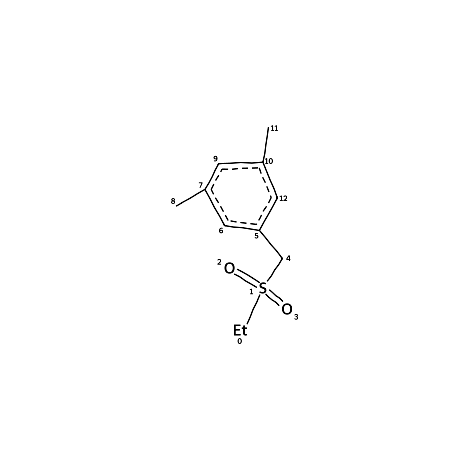 CCS(=O)(=O)Cc1cc(C)cc(C)c1